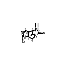 C=C1NC2CN1Cc1c2cnn1C